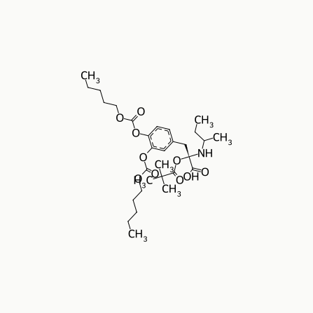 CCCCCOC(=O)Oc1ccc(C[C@](NC(C)CC)(OC(=O)C(C)(C)C)C(=O)O)cc1OC(=O)OCCCCC